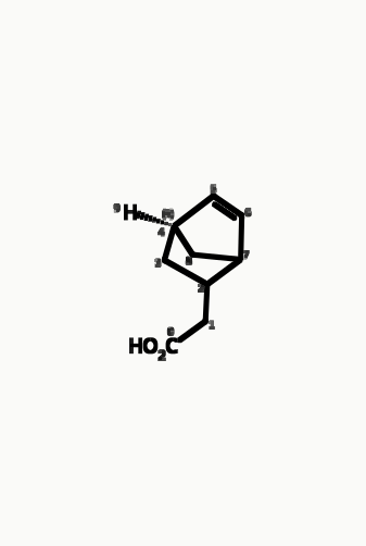 O=C(O)CC1C[C@H]2C=CC1C2